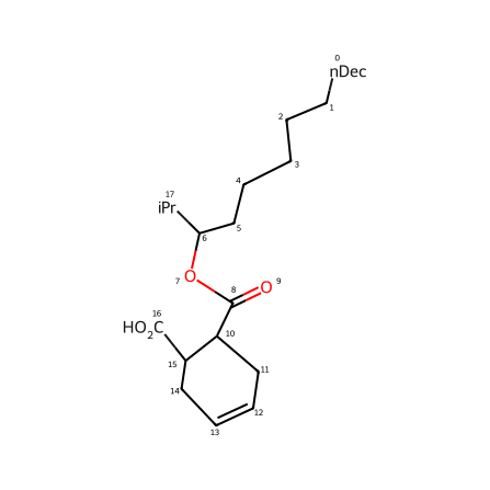 CCCCCCCCCCCCCCCC(OC(=O)C1CC=CCC1C(=O)O)C(C)C